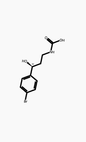 O=C(O)NCC[C@H](O)c1ccc(Br)cc1